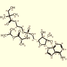 CC(C)OC(=O)[C@H](C)N[P@](=O)(OCCSC(=O)C(C)(C)CO)OC[C@H]1O[C@@H](n2cnc3c(N)ncnc32)[C@](C)(Cl)[C@@H]1O